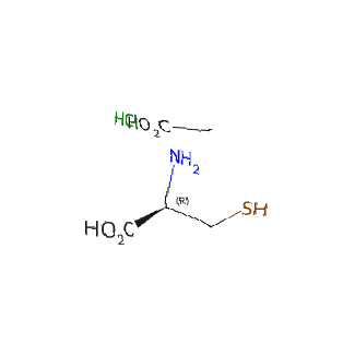 CC(=O)O.Cl.N[C@@H](CS)C(=O)O